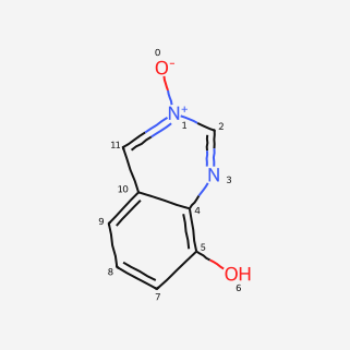 [O-][n+]1cnc2c(O)cccc2c1